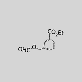 CCOC(=O)c1cccc(COC=O)c1